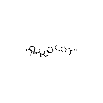 O=C(O)CC1CCC(OC(=O)N2CCc3cc(NC(=O)Nc4cccc(F)c4F)ccc3C2)CC1